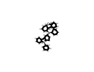 c1ccc(N(c2ccc3c(c2)c2ccccc2n3-c2ccccc2)c2cccc3oc4ccccc4c23)cc1